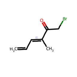 C=C/C=C(\C)C(=O)CBr